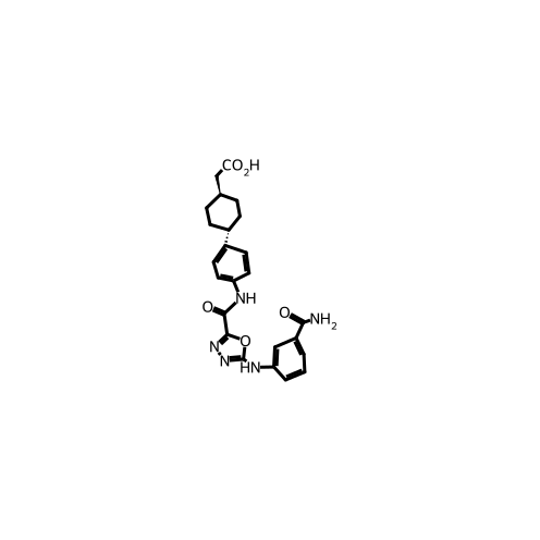 NC(=O)c1cccc(Nc2nnc(C(=O)Nc3ccc([C@H]4CC[C@H](CC(=O)O)CC4)cc3)o2)c1